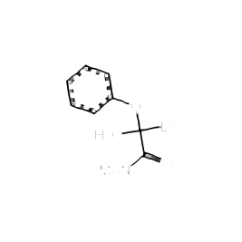 CCC(C)(Oc1ccccc1)C(=O)NC